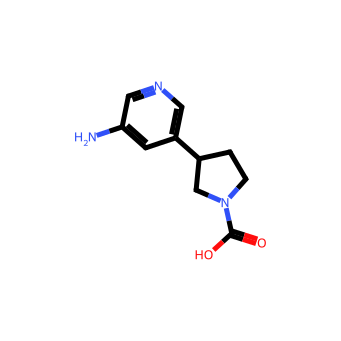 Nc1cncc(C2CCN(C(=O)O)C2)c1